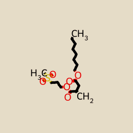 C=C(CC(=O)OCCCCCCCC)C(=O)OCCCS(C)(=O)=O